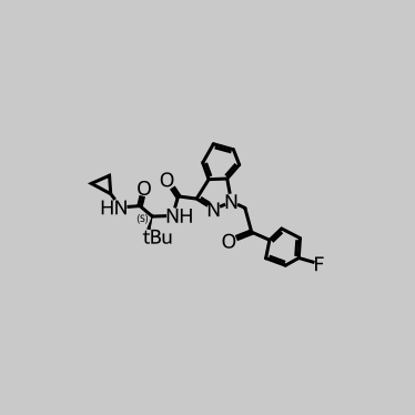 CC(C)(C)[C@H](NC(=O)c1nn(CC(=O)c2ccc(F)cc2)c2ccccc12)C(=O)NC1CC1